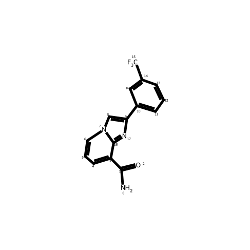 NC(=O)c1cccn2cc(-c3cccc(C(F)(F)F)c3)nc12